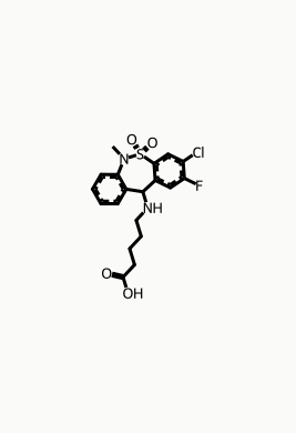 CN1c2ccccc2C(NCCCCC(=O)O)c2cc(F)c(Cl)cc2S1(=O)=O